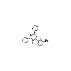 Brc1cccc(C2=CC(c3ccccc3)=NC(c3ccccc3)N2)n1